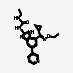 CCNC(=O)Nc1nc2cc(-c3cccnc3)cc(/C(=N/OCC)C3CC3)c2[nH]1